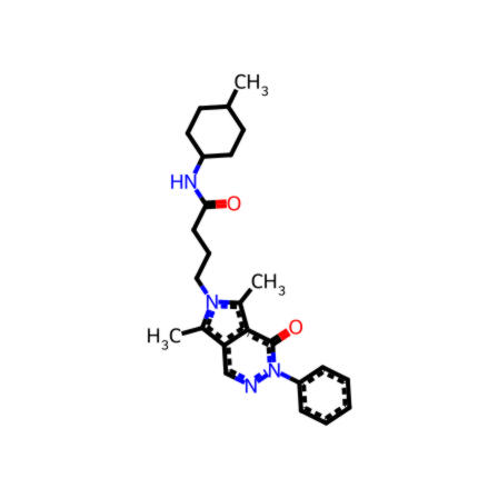 Cc1c2cnn(-c3ccccc3)c(=O)c2c(C)n1CCCC(=O)NC1CCC(C)CC1